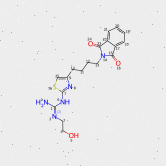 N/C(=N/CCO)Nc1nc(CCCCN2C(=O)c3ccccc3C2=O)cs1